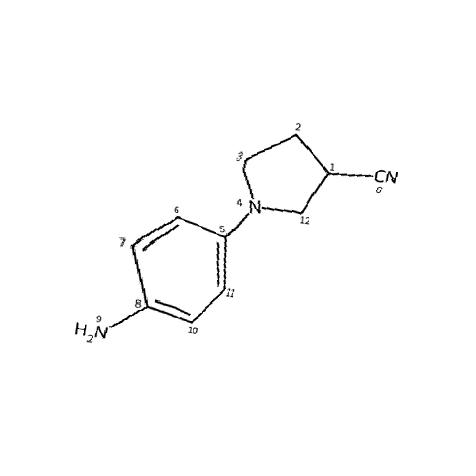 N#CC1CCN(c2ccc(N)cc2)C1